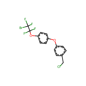 FC(F)(Br)C(F)(F)Oc1ccc(Oc2ccc(CCl)cc2)cc1